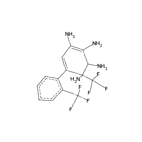 NC1=C(N)C(N)C(N)(C(F)(F)F)C(c2ccccc2C(F)(F)F)=C1